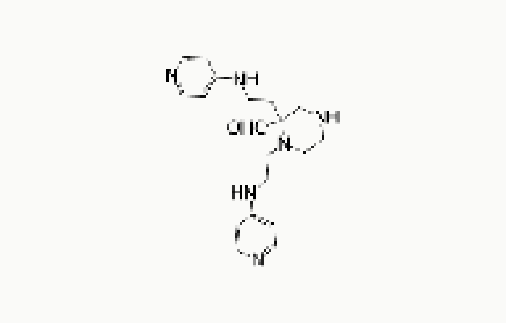 O=CC1(CCNc2ccncc2)CNCCN1CCNc1ccncc1